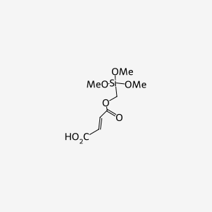 CO[Si](COC(=O)C=CC(=O)O)(OC)OC